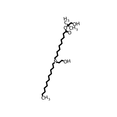 CCCCCCCCCCCCN(CCO)CCCCCCCCCC(=O)OC(C)(C)CO